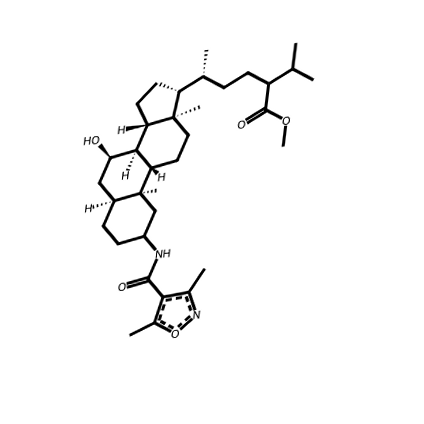 COC(=O)C(CC[C@@H](C)[C@H]1CC[C@H]2[C@@H]3[C@H](O)C[C@@H]4CCC(NC(=O)c5c(C)noc5C)C[C@]4(C)[C@H]3CC[C@]12C)C(C)C